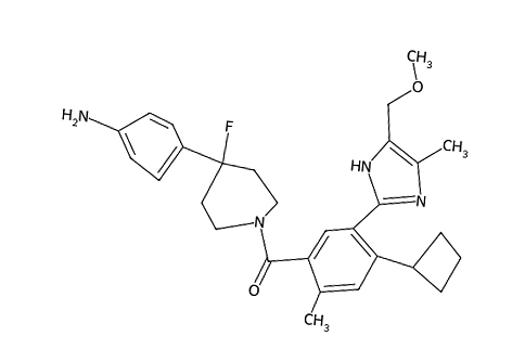 COCc1[nH]c(-c2cc(C(=O)N3CCC(F)(c4ccc(N)cc4)CC3)c(C)cc2C2CCC2)nc1C